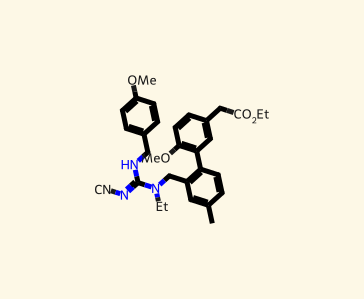 [C-]#[N+]/N=C(\NCc1ccc(OC)cc1)N(CC)Cc1cc(C)ccc1-c1cc(CC(=O)OCC)ccc1OC